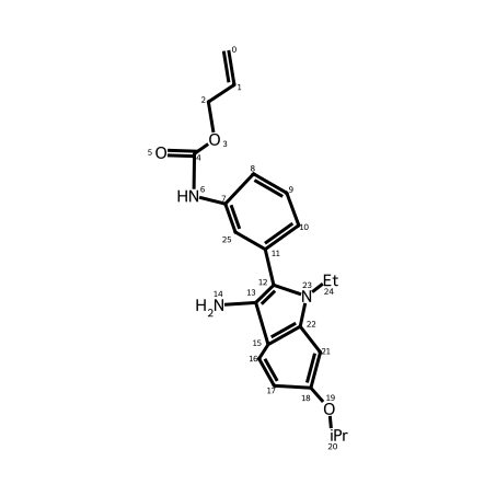 C=CCOC(=O)Nc1cccc(-c2c(N)c3ccc(OC(C)C)cc3n2CC)c1